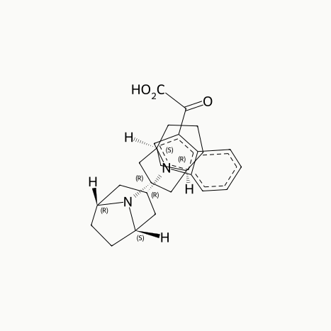 O=C(O)C(=O)c1cn([C@H]2C[C@H]3CC[C@@H](C2)N3[C@H]2C[C@@H]3CCC[C@@H](C3)C2)c2ccccc12